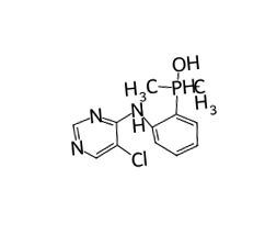 C[PH](C)(O)c1ccccc1Nc1ncncc1Cl